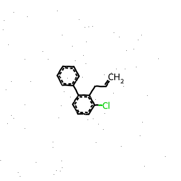 C=CCc1c(Cl)cccc1-c1ccccc1